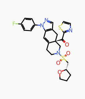 O=C(c1nccs1)[C@]12Cc3cnn(-c4ccc(F)cc4)c3C=C1CCN(S(=O)(=O)C[C@@H]1CCCO1)C2